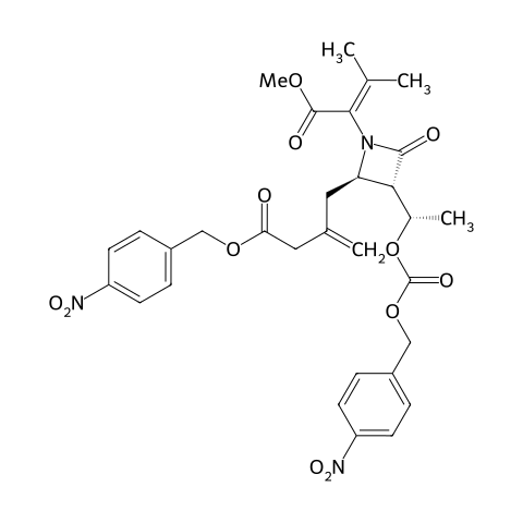 C=C(CC(=O)OCc1ccc([N+](=O)[O-])cc1)C[C@@H]1[C@@H]([C@H](C)OC(=O)OCc2ccc([N+](=O)[O-])cc2)C(=O)N1C(C(=O)OC)=C(C)C